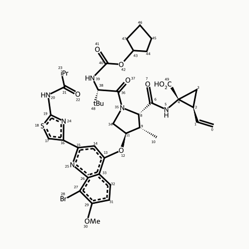 C=C[C@@H]1C[C@]1(NC(=O)[C@@H]1[C@H](C)[C@@H](Oc2cc(-c3csc(NC(=O)C(C)C)n3)nc3c(Br)c(OC)ccc23)CN1C(=O)[C@@H](NC(=O)OC1CCCC1)C(C)(C)C)C(=O)O